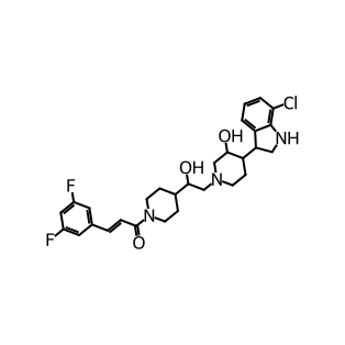 O=C(/C=C/c1cc(F)cc(F)c1)N1CCC(C(O)CN2CCC(C3CNc4c(Cl)cccc43)C(O)C2)CC1